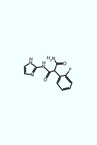 NC(=O)C(C(=O)Nc1ncc[nH]1)c1ccccc1F